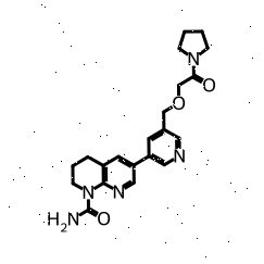 NC(=O)N1CCCc2cc(-c3cncc(COCC(=O)N4CCCC4)c3)cnc21